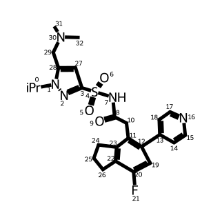 CC(C)n1nc(S(=O)(=O)NC(=O)Cc2c(-c3ccncc3)cc(F)c3c2CCC3)cc1CN(C)C